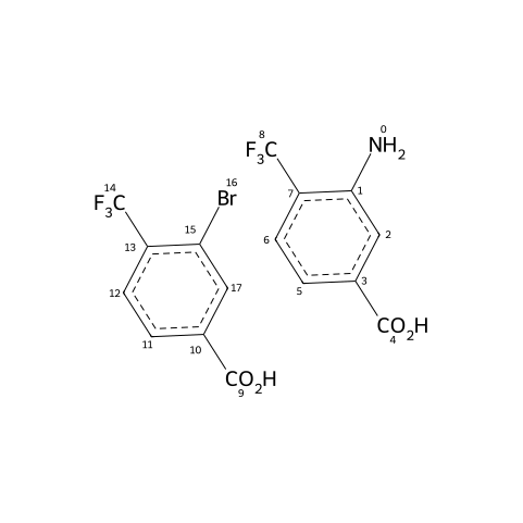 Nc1cc(C(=O)O)ccc1C(F)(F)F.O=C(O)c1ccc(C(F)(F)F)c(Br)c1